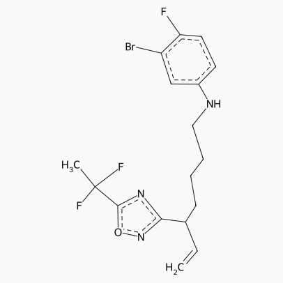 C=CC(CCCCNc1ccc(F)c(Br)c1)c1noc(C(C)(F)F)n1